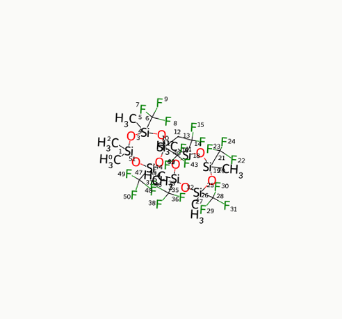 C[Si]1(C)O[Si](C)(C(F)(F)F)O[Si](CC(F)(F)[Si]2(C)O[Si](C)(C(F)(F)F)O[Si](C)(C(F)(F)F)O[Si](C)(C(F)(F)F)O2)(C(F)(F)F)O[Si](C)(C(F)(F)F)O1